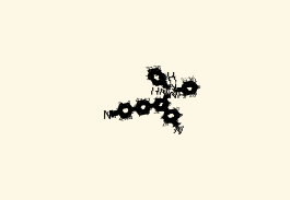 N#CC1C=CC(C2=CCC(c3cc(C4CCC(C#N)CC4)cc(C4NC(C5=CCCC=C5)NC(C5=CC=CCC5)N4)c3)CC2)CC1